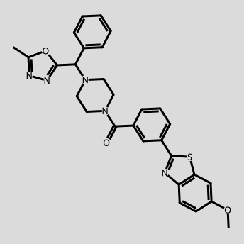 COc1ccc2nc(-c3cccc(C(=O)N4CCN(C(c5ccccc5)c5nnc(C)o5)CC4)c3)sc2c1